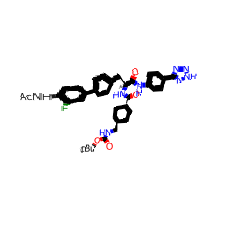 CC(=O)Nc1ccc(-c2ccc(C[C@H](NC(=O)[C@H]3CC[C@H](CNC(=O)OC(C)(C)C)CC3)C(=O)Nc3ccc(-c4nn[nH]n4)cc3)cc2)cc1F